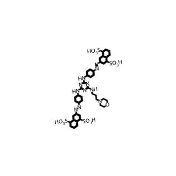 O=S(=O)(O)c1cc(/N=N/c2ccc(Nc3nc(NCCCN4CCOCC4)nc(Nc4ccc(/N=N/c5cc(S(=O)(=O)O)c6cccc(S(=O)(=O)O)c6c5)cc4)n3)cc2)cc2c(S(=O)(=O)O)cccc12